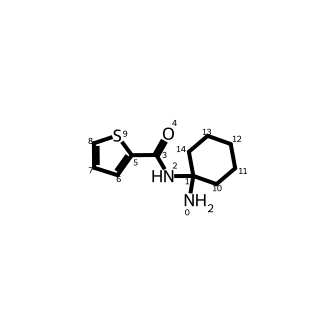 NC1(NC(=O)c2cccs2)CCCCC1